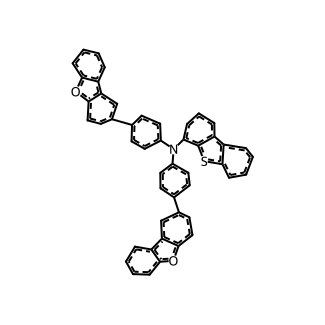 c1ccc2c(c1)oc1ccc(-c3ccc(N(c4ccc(-c5ccc6oc7ccccc7c6c5)cc4)c4cccc5c4sc4ccccc45)cc3)cc12